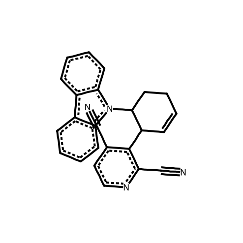 N#Cc1ccnc(C#N)c1C1C=CCCC1n1c2ccccc2c2ccccc21